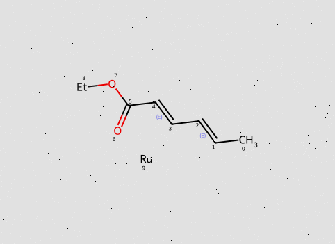 C/C=C/C=C/C(=O)OCC.[Ru]